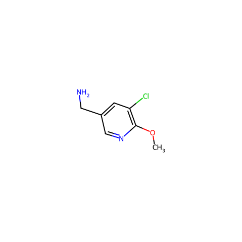 COc1ncc(CN)cc1Cl